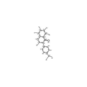 Cc1oc2c(C)c(C)c(C)c(C)c2c(=O)c1-c1ccc(C(C)C)cc1